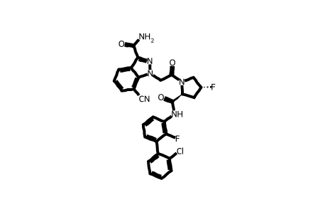 N#Cc1cccc2c(C(N)=O)nn(CC(=O)N3C[C@H](F)C[C@H]3C(=O)Nc3cccc(-c4ccccc4Cl)c3F)c12